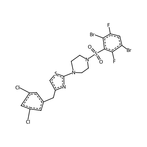 O=S(=O)(c1c(F)c(Br)cc(F)c1Br)N1CCN(c2nc(Cc3cc(Cl)cc(Cl)c3)cs2)CC1